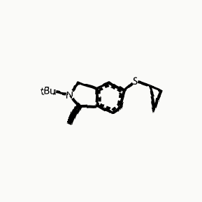 C=C1c2ccc(SC3CC3)cc2CN1C(C)(C)C